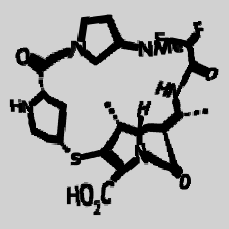 CNC1CCN(C(=O)[C@@H]2C[C@H](SC3=C(C(=O)O)N4C(=O)[C@H]([C@@H](C)NC(=O)C(F)F)[C@H]4[C@H]3C)CN2)C1